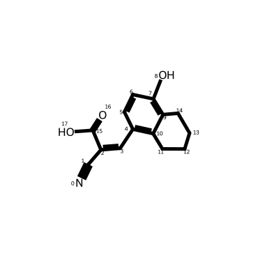 N#CC(=Cc1ccc(O)c2c1CCCC2)C(=O)O